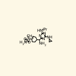 CC(C)Nc1nc(NC2CC2)nc(C(N)C2CCC(N(C)S(N)(=O)=O)CC2)n1